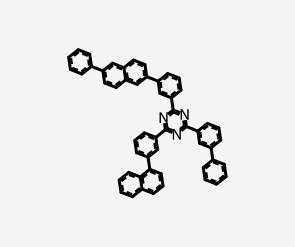 c1ccc(-c2cccc(-c3nc(-c4cccc(-c5ccc6cc(-c7ccccc7)ccc6c5)c4)nc(-c4cccc(-c5cccc6ccccc56)c4)n3)c2)cc1